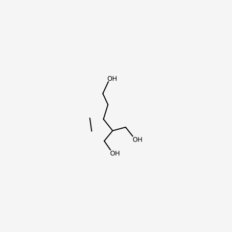 CC.OCCCC(CO)CO